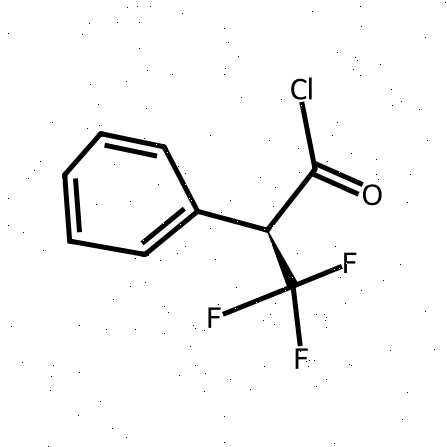 O=C(Cl)[C@H](c1ccccc1)C(F)(F)F